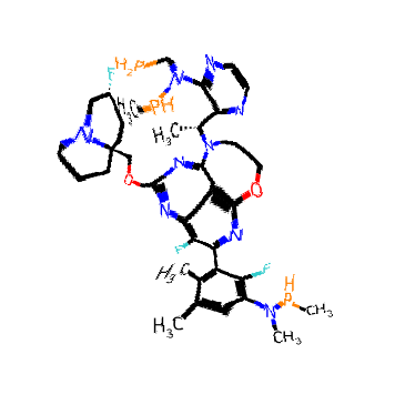 CPN(C)c1cc(C)c(C)c(-c2nc3c4c(nc(OC[C@@]56CCCN5C[C@H](F)C6)nc4c2F)N([C@H](C)c2nccnc2N(CP)PC)CCO3)c1F